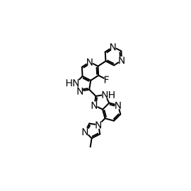 Cc1cn(-c2ccnc3[nH]c(-c4n[nH]c5cnc(-c6cncnc6)c(F)c45)nc23)cn1